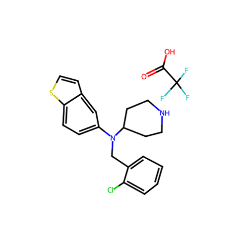 Clc1ccccc1CN(c1ccc2sccc2c1)C1CCNCC1.O=C(O)C(F)(F)F